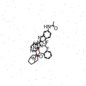 CC(=O)Nc1ccc2oc(-c3ccnc(C(=O)N4C5CCC4CN(C(c4ccccc4)c4nnnn4C(F)F)C5)c3)nc2c1